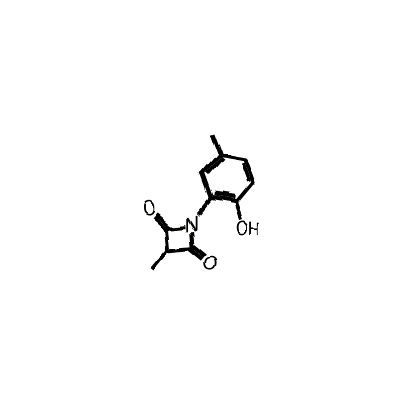 Cc1ccc(O)c(N2C(=O)C(C)C2=O)c1